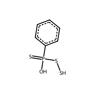 OP(=S)(SS)c1ccccc1